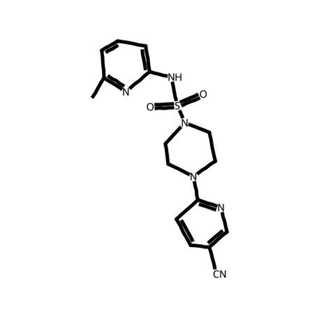 Cc1cccc(NS(=O)(=O)N2CCN(c3ccc(C#N)cn3)CC2)n1